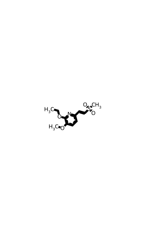 CCOc1nc(C=CS(C)(=O)=O)ccc1OC